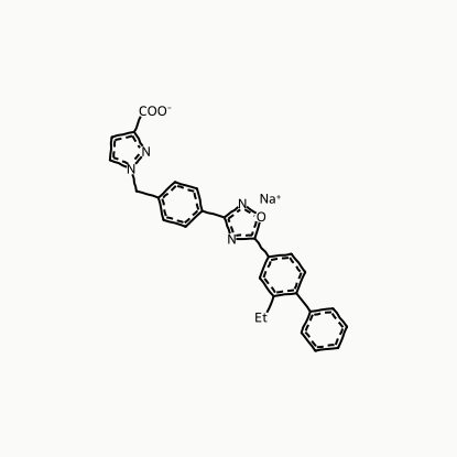 CCc1cc(-c2nc(-c3ccc(Cn4ccc(C(=O)[O-])n4)cc3)no2)ccc1-c1ccccc1.[Na+]